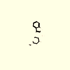 OC[C@H]1O[C@H](Oc2c[nH]c3ccccc23)[C@H](O)[C@@H](O)[C@@H]1O